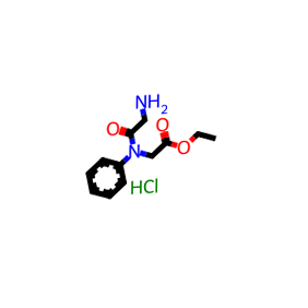 CCOC(=O)CN(C(=O)CN)c1ccccc1.Cl